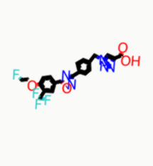 O=C(O)c1cn(Cc2ccc(-c3noc(-c4ccc(OCCF)c(C(F)(F)F)c4)n3)cc2)nn1